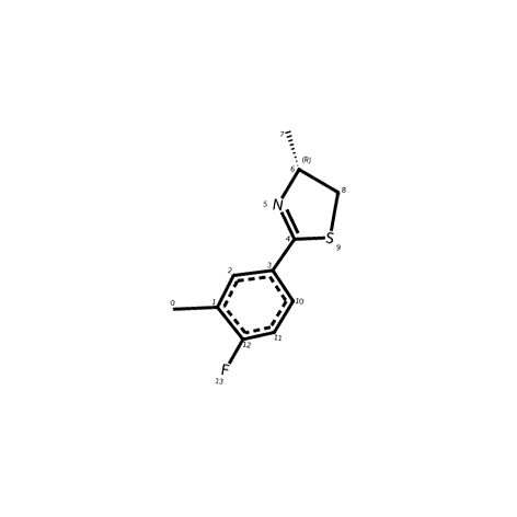 Cc1cc(C2=N[C@H](C)CS2)ccc1F